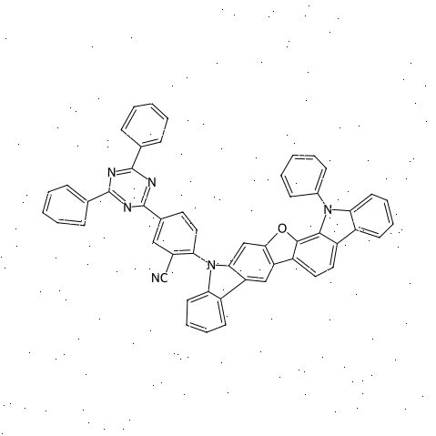 N#Cc1cc(-c2nc(-c3ccccc3)nc(-c3ccccc3)n2)ccc1-n1c2ccccc2c2cc3c(cc21)oc1c3ccc2c3ccccc3n(-c3ccccc3)c21